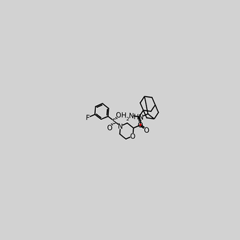 NC(=O)C12CC3CC(C1)C(NC(=O)C1CN(S(=O)(=O)c4cccc(F)c4)CCO1)C(C3)C2